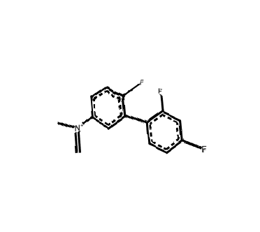 C=[N+](C)c1ccc(F)c(-c2ccc(F)cc2F)c1